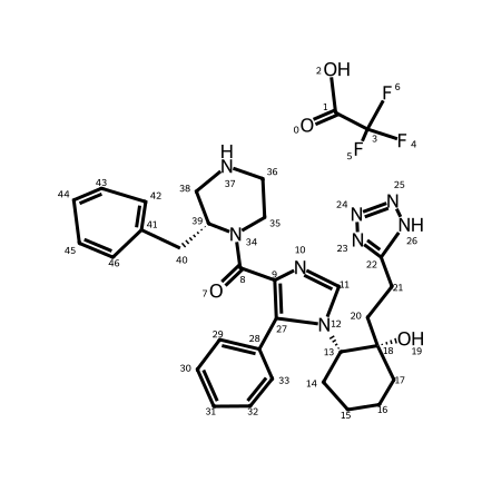 O=C(O)C(F)(F)F.O=C(c1ncn([C@H]2CCCC[C@]2(O)CCc2nnn[nH]2)c1-c1ccccc1)N1CCNC[C@H]1Cc1ccccc1